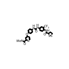 CNC(=O)c1cc(Oc2ccc(NC(=O)Nc3ccc(NC(=O)C4CCSS4)c(C(F)(F)F)c3)cc2)ccn1